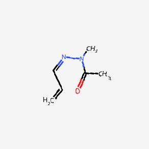 C=C/C=N\N(C)C(C)=O